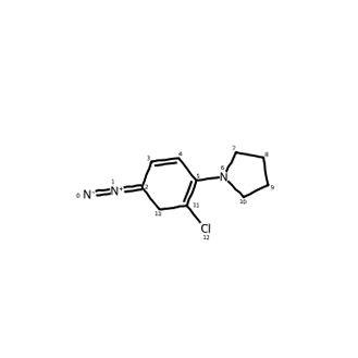 [N-]=[N+]=C1C=CC(N2CCCC2)=C(Cl)C1